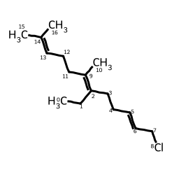 CC/C(CC/C=C/CCl)=C(/C)CCC=C(C)C